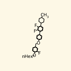 CCCCCCOc1ccc(COc2ccc(-c3ccc(C4CCC(C)CC4)c(F)c3F)cc2)cc1F